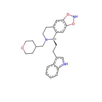 c1ccc2c(CC[C@@H]3c4cc5c(cc4CCN3CC3CCOCC3)ONO5)c[nH]c2c1